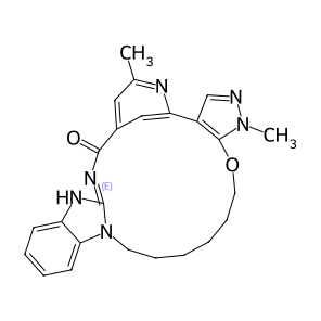 Cc1cc2cc(n1)-c1cnn(C)c1OCCCCCCN1/C(=N/C2=O)Nc2ccccc21